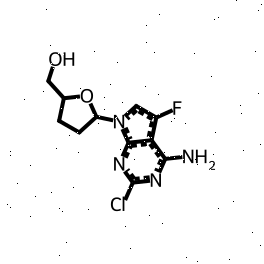 Nc1nc(Cl)nc2c1c(F)cn2C1CCC(CO)O1